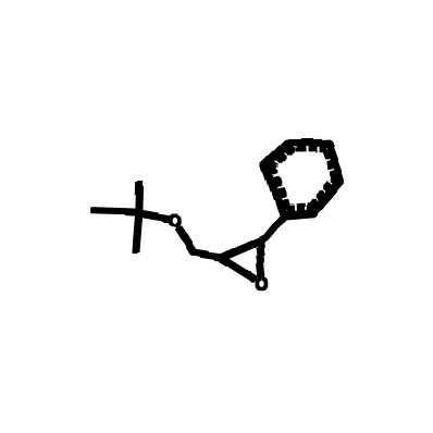 CC(C)(C)OCC1OC1c1ccccc1